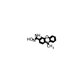 CN1c2ccccc2Oc2cc(/C(N)=N/O)ccc21